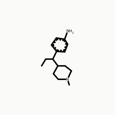 CCC(c1ccc(N)cc1)C1CCN(C)CC1